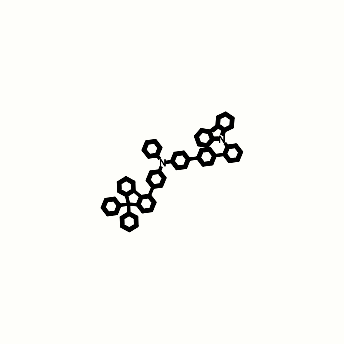 c1ccc(N(c2ccc(-c3ccc(-c4ccccc4-n4c5ccccc5c5ccccc54)cc3)cc2)c2ccc(-c3cccc4c3-c3ccccc3C4(c3ccccc3)c3ccccc3)cc2)cc1